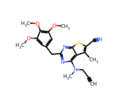 C#CCN(C)c1nc(Cc2cc(OC)c(OC)c(OC)c2)nc2sc(C#N)c(C)c12